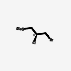 COC[C@H](Cl)CBr